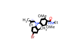 CCNC(=O)c1c(OC)cc(N(/C=C(/C)CC)c2ccc(Br)cc2C)cc1OC